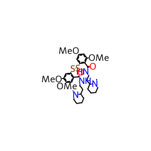 COc1cc(OC)c(C(=O)NCCC2CCCCN2C)c(SSc2cc(OC)cc(OC)c2C(=O)NCCC2CCCCN2C)c1